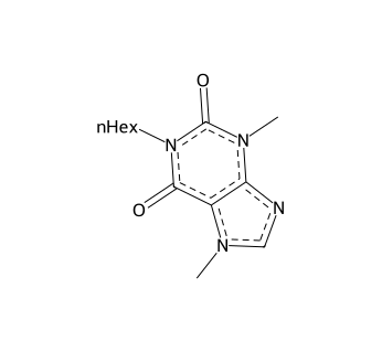 CCCCCCn1c(=O)c2c(ncn2C)n(C)c1=O